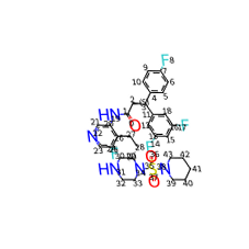 O=C(C[C@@H](c1ccc(F)cc1)c1cc(F)cc(F)c1)Nc1cncc(F)c1CC[C@H]1CNCCN1S(=O)(=O)N1CCCCC1